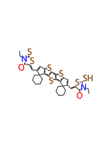 CCN1C(=O)/C(=C/C2=Cc3sc4c(sc5c6c(sc54)C=C(/C=C4\SC(S)N(CC)C4=O)C64CCCCC4)c3C23CCCCC3)SC1=S